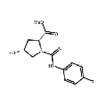 COC(=O)[C@H]1C[C@@H](O)CN1C(=O)Nc1ccc(Cl)cc1